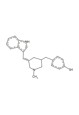 CN1C/C(=C/c2c[nH]c3ccccc23)CC(Cc2ccc(S)cc2)C1